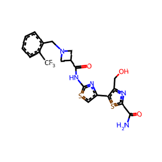 NC(=O)c1nc(CO)c(-c2csc(NC(=O)C3CN(Cc4ccccc4C(F)(F)F)C3)n2)s1